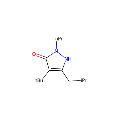 CCCCc1c(CC(C)C)[nH]n(CCC)c1=O